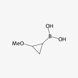 COC1CC1B(O)O